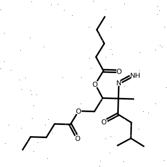 CCCCC(=O)OCC(OC(=O)CCCC)C(C)(N=N)C(=O)CC(C)C